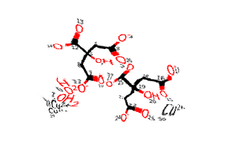 O.O.O=C([O-])CC(O)(CC(=O)[O-])C(=O)[O-].O=C([O-])CC(O)(CC(=O)[O-])C(=O)[O-].[Cu+2].[Cu+2].[Cu+2]